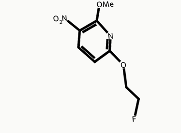 COc1nc(OCCF)ccc1[N+](=O)[O-]